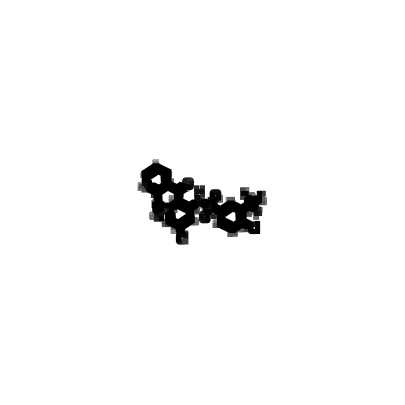 N#Cc1ncccc1C(=O)c1ncc(Cl)cc1NS(=O)(=O)c1ccc(Cl)c(C(F)(F)F)c1